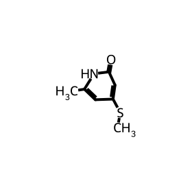 CSc1cc(C)[nH]c(=O)c1